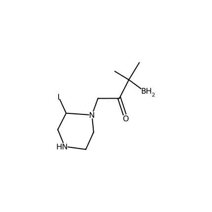 BC(C)(C)C(=O)CN1CCNCC1I